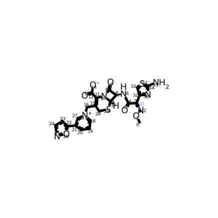 CO/N=C(\C(=O)N[C@@H]1C(=O)N2C(C(=O)[O-])=C(C[n+]3cccc(-c4ccno4)c3)CS[C@@H]12)c1csc(N)n1